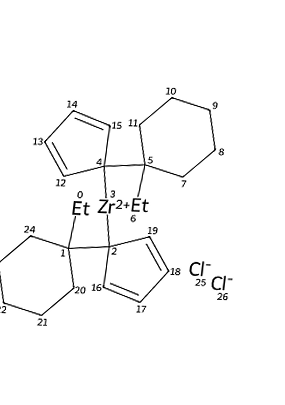 CCC1([C]2([Zr+2][C]3(C4(CC)CCCCC4)C=CC=C3)C=CC=C2)CCCCC1.[Cl-].[Cl-]